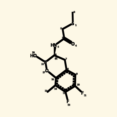 CSCC(=O)N[C@H]1Cc2cc(F)c(F)c(C)c2OB1O